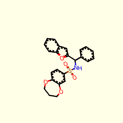 O=S(=O)(NC(c1ccccc1)c1cc2ccccc2o1)c1ccc2c(c1)OCCCO2